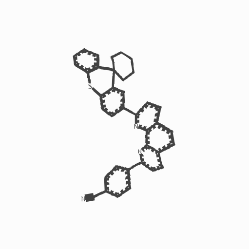 N#Cc1ccc(-c2ccc3ccc4ccc(-c5ccc6c(c5)C5(CCCCC5)c5ccccc5S6)nc4c3n2)cc1